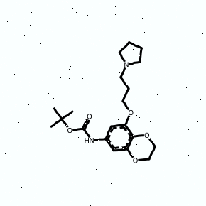 CC(C)(C)OC(=O)Nc1cc(OCCCN2CCCC2)c2c(c1)OCCO2